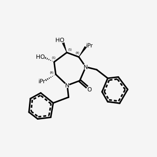 CC(C)[C@@H]1[C@H](O)[C@@H](O)[C@@H](C(C)C)N(Cc2ccccc2)C(=O)N1Cc1ccccc1